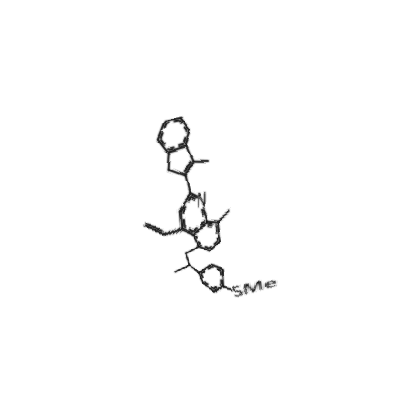 C=Cc1cc(C2=C(C)c3ccccc3C2)nc2c(C)ccc(CC(C)c3ccc(SC)cc3)c12